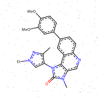 CCn1cc(-n2c(=O)n(C)c3cnc4ccc(-c5ccc(OC)c(OC)c5)cc4c32)c(C)n1